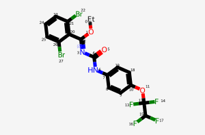 CCO/C(=N\C(=O)Nc1ccc(OC(F)(F)C(F)F)cc1)c1c(Br)cccc1Br